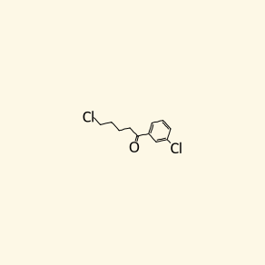 O=C(CCCCCl)c1cccc(Cl)c1